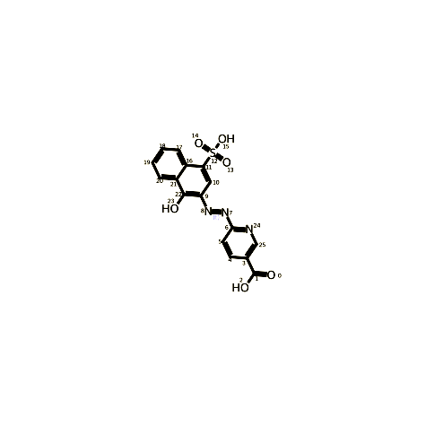 O=C(O)c1ccc(/N=N/c2cc(S(=O)(=O)O)c3ccccc3c2O)nc1